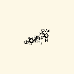 CC(=O)OC(CCCNC(C)(C)c1ccc(Cl)cc1)c1nc[nH]c1C